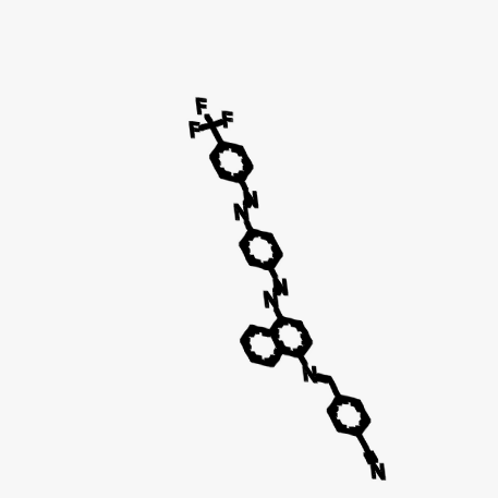 N#Cc1ccc(/C=N/c2ccc(/N=N/c3ccc(/N=N/c4ccc(C(F)(F)F)cc4)cc3)c3ccccc23)cc1